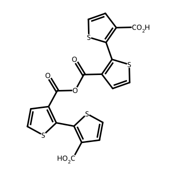 O=C(O)c1ccsc1-c1sccc1C(=O)OC(=O)c1ccsc1-c1sccc1C(=O)O